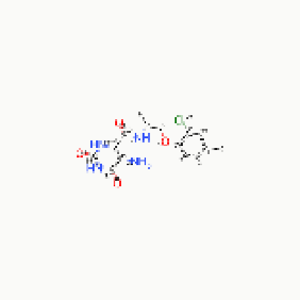 Cc1ccc(OCC(C)NC(=O)c2[nH]c(=O)[nH]c(=O)c2N)c(Cl)c1